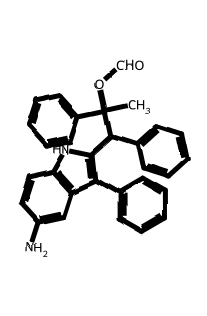 CC(OC=O)(c1ccccc1)C(c1ccccc1)c1[nH]c2ccc(N)cc2c1-c1ccccc1